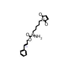 NN(CCCCCN1C(=O)C=CC1=O)C(=O)OC/C=C/c1ccccc1